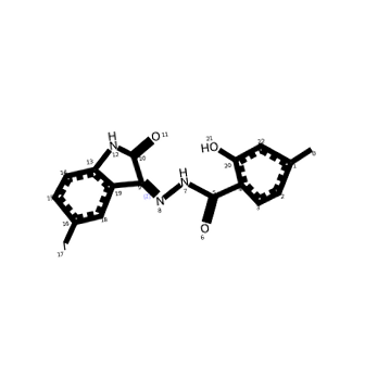 Cc1ccc(C(=O)N/N=C2\C(=O)Nc3ccc(I)cc32)c(O)c1